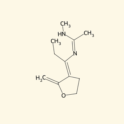 C=C1OCC/C1=C(CC)\N=C(\C)NC